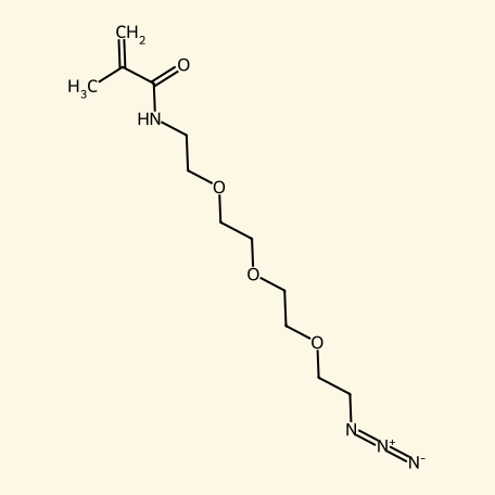 C=C(C)C(=O)NCCOCCOCCOCCN=[N+]=[N-]